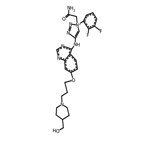 NC(=O)C[N+]1(c2cccc(F)c2F)C=C(Nc2ncnc3cc(OCCCN4CCC(CO)CC4)ccc23)N=N1